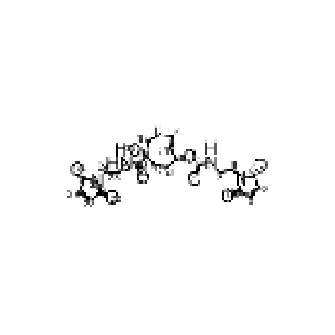 O=C(NCCN1C(=O)C=CC1=O)O[C@H]1/C=C/CC[C@@](O)(C(=O)NCCN2C(=O)C=CC2=O)CC1